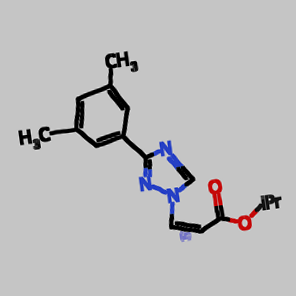 Cc1cc(C)cc(-c2ncn(/C=C\C(=O)OC(C)C)n2)c1